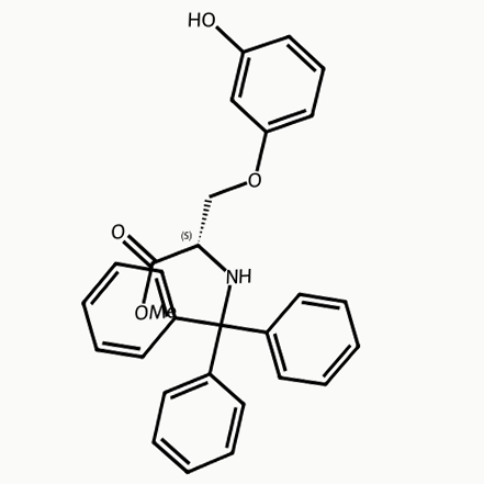 COC(=O)[C@H](COc1cccc(O)c1)NC(c1ccccc1)(c1ccccc1)c1ccccc1